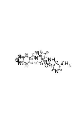 Cc1cncc(C(=O)N[C@H]2CC[C@@H]3[C@H]2CCN3Cc2ccc3nonc3c2)c1